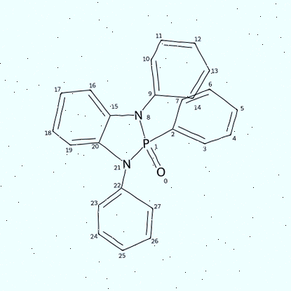 O=P1(c2ccccc2)N(c2ccccc2)c2ccccc2N1c1ccccc1